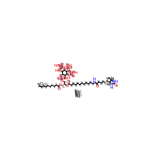 CCCCCCCC/C=C\CCCCCCCC(=O)OC[C@H](COP(=O)([O-])OC1C(O)C(OP(=O)([O-])O)C(OP(=O)([O-])O)[C@@H](OP(=O)([O-])O)C1O)OC(=O)CCCCCCCCCCCNC(=O)CCCC[C@@H]1SC[C@@H]2NC(=O)N[C@@H]21.[Na+].[Na+].[Na+].[Na+]